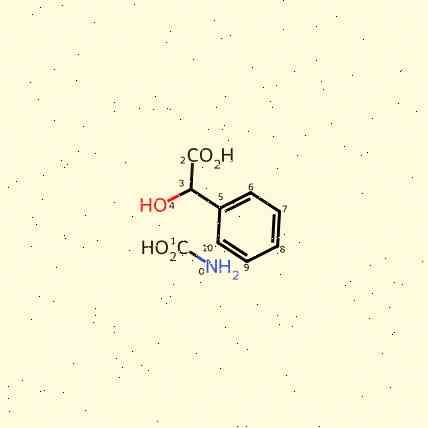 NC(=O)O.O=C(O)C(O)c1ccccc1